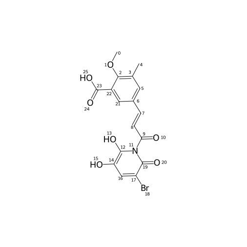 COc1c(C)cc(C=CC(=O)n2c(O)c(O)cc(Br)c2=O)cc1C(=O)O